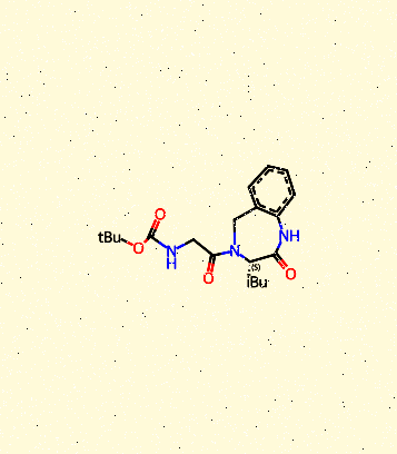 CCC(C)[C@H]1C(=O)Nc2ccccc2CN1C(=O)CNC(=O)OC(C)(C)C